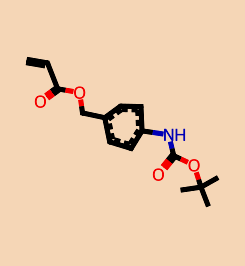 C=CC(=O)OCc1ccc(NC(=O)OC(C)(C)C)cc1